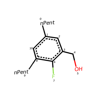 CCCCCc1cc(CO)c(F)c(CCCCC)c1